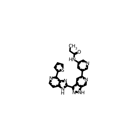 CCC(=O)Nc1cncc(-c2cc3c(-c4nc5c(-c6cccs6)nccc5[nH]4)n[nH]c3cn2)c1